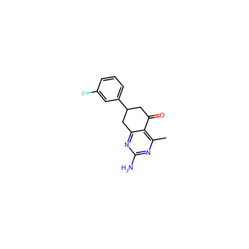 Cc1nc(N)nc2c1C(=O)CC(c1cccc(F)c1)C2